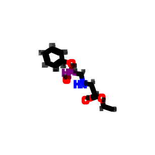 CCOC(=O)CNC[PH](=O)Oc1ccccc1